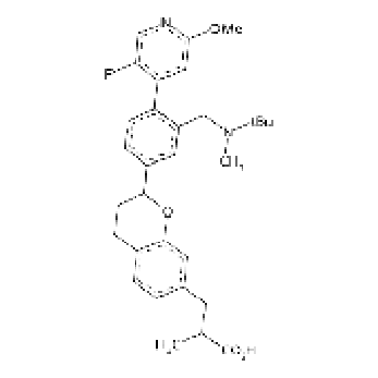 COc1cc(-c2ccc(C3CCc4ccc(CC(C)C(=O)O)cc4O3)cc2CN(C)C(C)(C)C)c(F)cn1